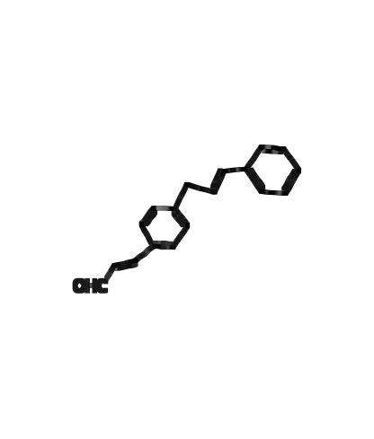 O=CC=Cc1ccc(CC=Cc2ccccc2)cc1